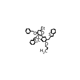 C=CCOc1cc(C)c([C@@H]2O[C@H](CC)C[C@H](OCc3ccccc3)[C@H]2OCc2ccccc2)cc1Cc1cc2ccccc2s1